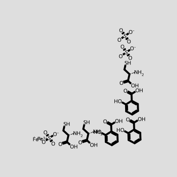 N[C@@H](CS)C(=O)O.N[C@@H](CS)C(=O)O.N[C@@H](CS)C(=O)O.O=C(O)c1ccccc1O.O=C(O)c1ccccc1O.O=C(O)c1ccccc1O.O=S(=O)([O-])[O-].O=S(=O)([O-])[O-].O=S(=O)([O-])[O-].[Fe+3].[Fe+3]